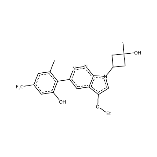 CCOc1cn(C2CC(C)(O)C2)c2nnc(-c3c(C)cc(C(F)(F)F)cc3O)cc12